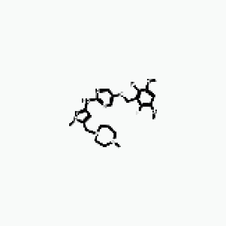 COc1cc(OC)c(F)c(COc2cnc(Nc3cc(CN4CCCN(C)CC4)n(C)n3)nc2)c1F